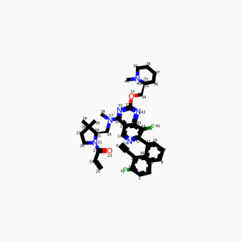 C#Cc1c(F)ccc2cccc(-c3ncc4c(N(C)C[C@H]5N(C(=O)C=C)CCC5(C)C)nc(OC[C@@H]5CCCCN5C)nc4c3F)c12